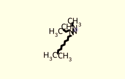 CCC/N=N\N(CCCCCCCCC(C)C)CCC(C)C